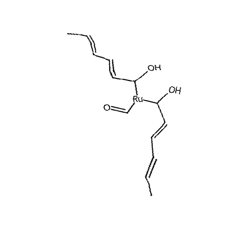 CC=CC=C[CH](O)[Ru]([CH]=O)[CH](O)C=CC=CC